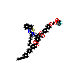 C=C(C(=O)OCCOC1CCC(C2CCC(C(=O)Oc3cc(/C=N/N(CCCCCCCC)c4nc5c(ccc6ccccc65)s4)c4cc(OC(=O)c5ccc(-c6ccc(C7CCC(CCCCC)CC7)cc6)cc5)ccc4c3)CC2)CC1)C(F)(F)F